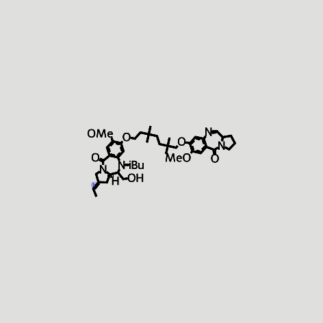 C/C=C1\C[C@H]2C(CO)N(C(C)CC)c3cc(OCCC(C)(C)CCC(C)(C)COc4cc5c(cc4OC)C(=O)N4CCCC4C=N5)c(OC)cc3C(=O)N2C1